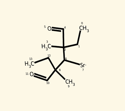 CCC(C)(C=O)[CH]([Sr])C(C)(C=O)CC